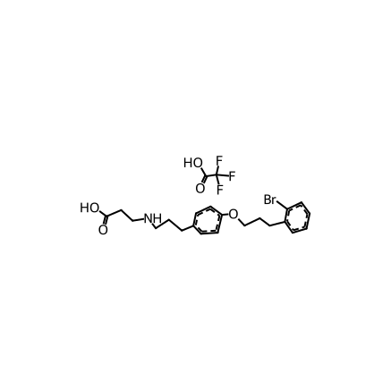 O=C(O)C(F)(F)F.O=C(O)CCNCCCc1ccc(OCCCc2ccccc2Br)cc1